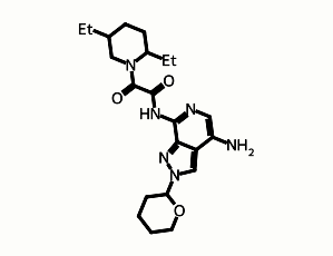 CCC1CCC(CC)N(C(=O)C(=O)Nc2ncc(N)c3cn(C4CCCCO4)nc23)C1